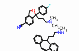 CN(C)CCCC1(c2ccc(F)cc2)OCc2cc(C#N)ccc21.CNCCCC1c2ccccc2C=Cc2ccccc21